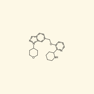 c1cnc(C2CCCCN2)c(OCc2ccc3cnn(C4CCOCC4)c3c2)c1